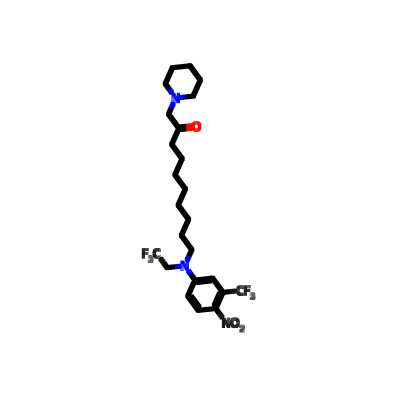 O=C(CCCCCCCCN(CC(F)(F)F)c1ccc([N+](=O)[O-])c(C(F)(F)F)c1)CN1CCCCC1